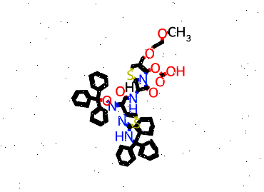 COCCOCC1=C(OC(=O)O)N2C(=O)C(NC(=O)/C(=N\OC(c3ccccc3)(c3ccccc3)c3ccccc3)c3csc(NC(c4ccccc4)(c4ccccc4)c4ccccc4)n3)[C@@H]2SC1